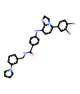 CCc1cc(-c2ccc(Nc3ccc(C(=O)NCc4cccc(-n5cccc5)c4)cc3)c3nccn23)ccc1C(C)=O